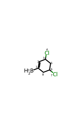 BC1=CC(Cl)CC(Cl)C1